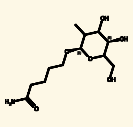 CC1C(O)[C@@H](O)C(CO)O[C@H]1OCCCCC(N)=O